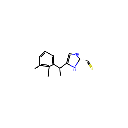 Cc1cccc(C(C)C2=CN[C@H](C=S)N2)c1C